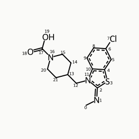 CN=c1sc2cc(Cl)ccc2n1CC1CCN(C(=O)O)CC1